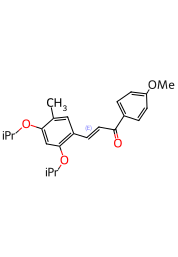 COc1ccc(C(=O)/C=C/c2cc(C)c(OC(C)C)cc2OC(C)C)cc1